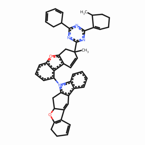 CC1CCCC=C1c1nc(C2C=CC=CC2)nc(C2(C)C=Cc3c(oc4cccc(-n5c6c(c7ccccc75)C=C5C7=C(CCC=C7)OC5C6)c34)C2)n1